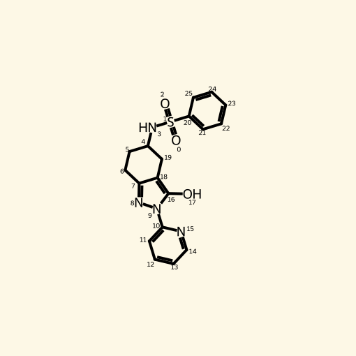 O=S(=O)(NC1CCc2nn(-c3ccccn3)c(O)c2C1)c1ccccc1